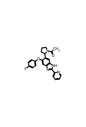 CC(=O)N1CCCC1c1cc2[nH]c(-c3ccccn3)nc2cc1Oc1ccc(F)cc1